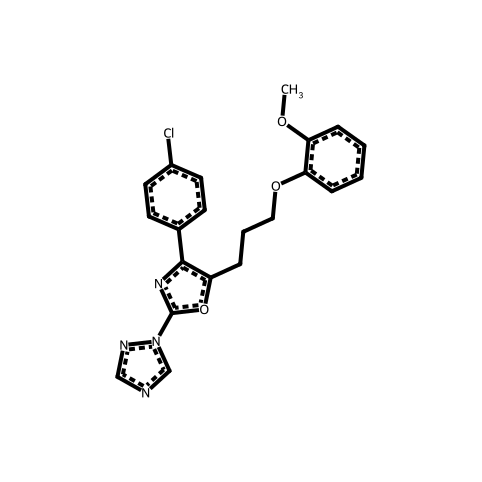 COc1ccccc1OCCCc1oc(-n2cncn2)nc1-c1ccc(Cl)cc1